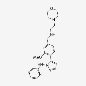 COc1cc(CNCCN2CCOCC2)ccc1-c1ccnn1Nc1cnccn1